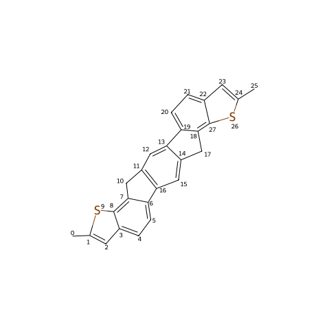 Cc1cc2ccc3c(c2s1)Cc1cc2c(cc1-3)Cc1c-2ccc2cc(C)sc12